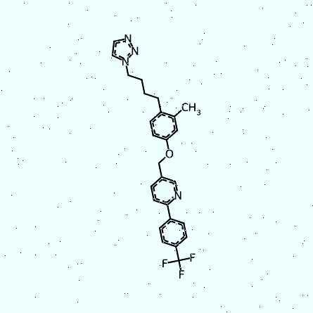 Cc1cc(OCc2ccc(-c3ccc(C(F)(F)F)cc3)nc2)ccc1CCCCn1ccnn1